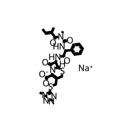 C/C=C(\C)C(=O)N(C)C(=O)NC(C(=O)NC1C(=O)N2C(C(=O)[O-])=C(CSc3nnnn3C)CS[C@@H]12)c1ccccc1.[Na+]